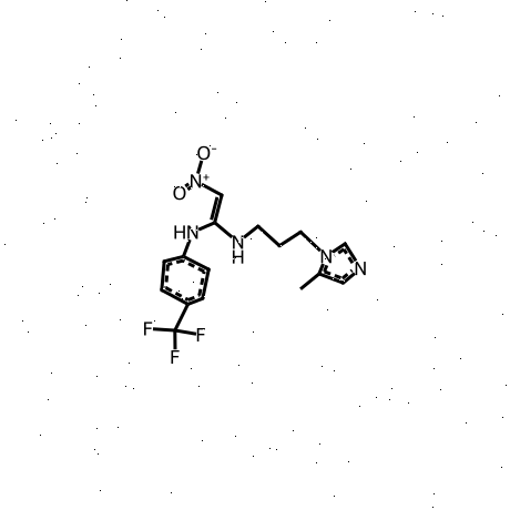 Cc1cncn1CCCN/C(=C/[N+](=O)[O-])Nc1ccc(C(F)(F)F)cc1